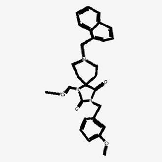 COCN1C(=O)N(Cc2cccc(OC)c2)C(=O)C12CCN(Cc1cccc3ccccc13)CC2